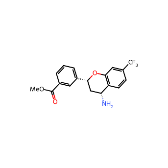 COC(=O)c1cccc([C@H]2C[C@@H](N)c3ccc(C(F)(F)F)cc3O2)c1